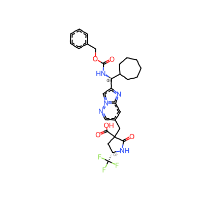 O=C(N[C@H](c1cn2ncc(CC3(C(=O)O)C[C@@H](C(F)(F)F)NC3=O)cc2n1)C1CCCCCC1)OCc1ccccc1